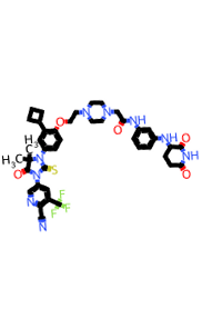 CC1(C)C(=O)N(c2cnc(C#N)c(C(F)(F)F)c2)C(=S)N1c1ccc(OCCN2CCN(CC(=O)Nc3cccc(NC4CCC(=O)NC4=O)c3)CC2)c(C2CCC2)c1